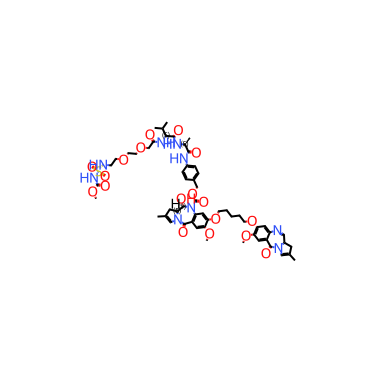 COC(=O)NS(=O)(=O)NCCOCCOCC(=O)N[C@H](C(=O)N[C@@H](C)C(=O)Nc1ccc(COC(=O)N2c3cc(OCCCCCOc4cc5c(cc4OC)C(=O)N4C=C(C)CC4C=N5)c(OC)cc3C(=O)N3C=C(C)C[C@H]3[C@@H]2O)cc1)C(C)C